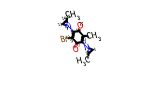 CC1=C(N2CC2C)C(=O)C(Br)=C(N2CC2C)C1=O